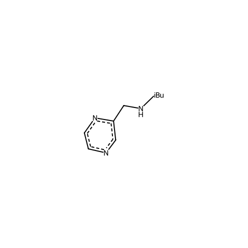 CCC(C)NCc1cnccn1